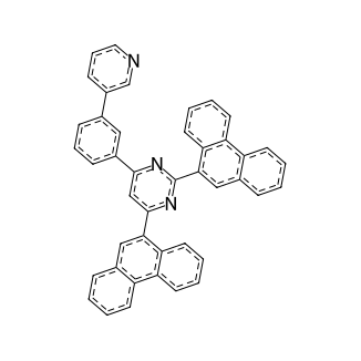 c1cncc(-c2cccc(-c3cc(-c4cc5ccccc5c5ccccc45)nc(-c4cc5ccccc5c5ccccc45)n3)c2)c1